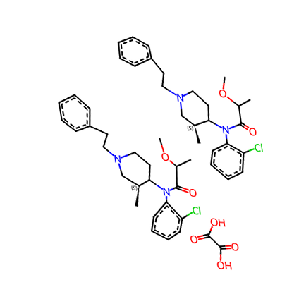 COC(C)C(=O)N(c1ccccc1Cl)C1CCN(CCc2ccccc2)C[C@@H]1C.COC(C)C(=O)N(c1ccccc1Cl)C1CCN(CCc2ccccc2)C[C@@H]1C.O=C(O)C(=O)O